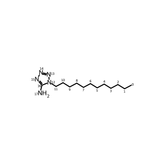 CCCCCCCCCCCCn1nnnc1N